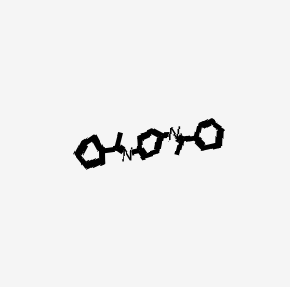 C/C(=N\c1ccc(/N=C(\C)c2ccccc2)cc1)c1ccccc1